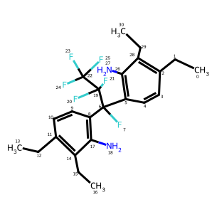 CCc1ccc(C(F)(c2ccc(CC)c(CC)c2N)C(F)(F)C(F)(F)F)c(N)c1CC